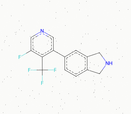 Fc1cncc(-c2ccc3c(c2)CNC3)c1C(F)(F)F